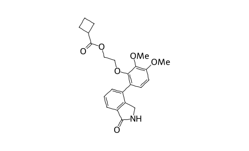 COc1ccc(-c2cccc3c2CNC3=O)c(OCCOC(=O)C2CCC2)c1OC